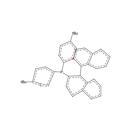 CC(C)(C)c1ccc(P(c2ccc(C(C)(C)C)cc2)c2ccc3ccccc3c2-c2cccc3ccccc23)cc1